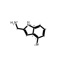 NCc1cc2c(Br)cccc2[nH]1